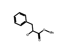 CC(C)(C)OC(=O)C([O])Cc1ccccc1